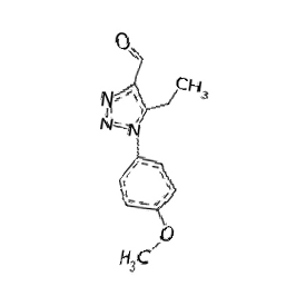 CCc1c(C=O)nnn1-c1ccc(OC)cc1